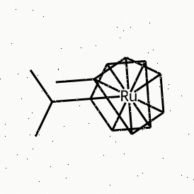 CC(C)[C]12[CH]3[CH]4[CH]5[CH]1[Ru]45321678[CH]2[CH]1[CH]6[C]7(C)[CH]28